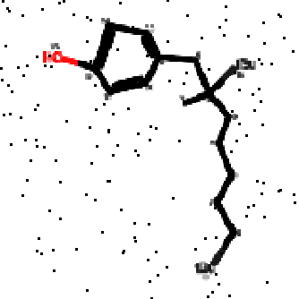 CC(C)(C)CCCCCC(C)(Cc1ccc(O)cc1)C(C)(C)C